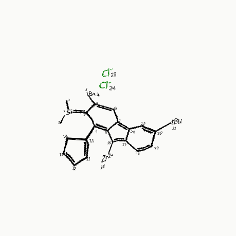 C[Si](C)=c1c(C(C)(C)C)cc2c(c1C1=CC=CC1)[C]([Zr+2])=c1ccc(C(C)(C)C)cc1=2.[Cl-].[Cl-]